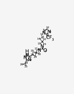 O=C(N1CC2(CC(Cn3ccnc3C(F)(F)F)C2)C1)N1CC2(CC(c3nc(C4CC4)n[nH]3)C2)C1